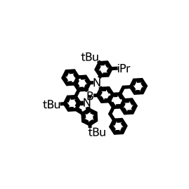 CC(C)c1cc(N2c3cc4c(Cc5ccccc5)c5ccccc5c(Cc5ccccc5)c4cc3B3c4c2cc2ccccc2c4-c2cc(C(C)(C)C)cc4c5cc(C(C)(C)C)ccc5n3c24)cc(C(C)(C)C)c1